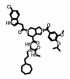 CNC(=O)[C@@H](CCCC1CCCCCC1)NC(=O)C1CN(C(=O)Cc2c[nH]c3cc(Cl)ccc23)CC2CN(C(=O)c3ccc(OC(C)C)c(OC)c3)CC21